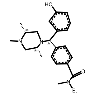 CCN(C)C(=O)c1ccc([C@@H](c2cccc(O)c2)N2C[C@@H](C)N(C)C[C@H]2C)cc1